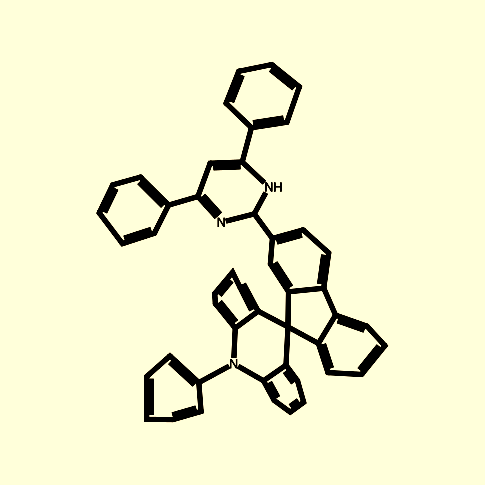 C1=C(c2ccccc2)NC(c2ccc3c(c2)C2(c4ccccc4-3)c3ccccc3N(c3ccccc3)c3ccccc32)N=C1c1ccccc1